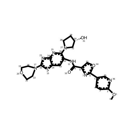 COc1ccc(-c2nc(C(=O)Nc3cc4sc(N5CCOCC5)nc4nc3N3CC[C@H](O)C3)co2)cn1